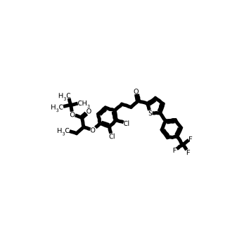 CCC(Oc1ccc(CCC(=O)c2ccc(-c3ccc(C(F)(F)F)cc3)s2)c(Cl)c1Cl)C(=O)OC(C)(C)C